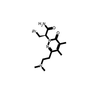 Cc1c(CCN(C)C)nn([C@@H](CC(C)C)C(N)=O)c(=O)c1C